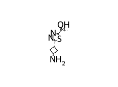 C[C@@H](O)c1nnc([C@H]2C[C@H](N)C2)s1